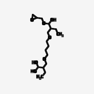 CCC(COCCCCOCC(CC)C(O)OCC1CO1)C(O)O